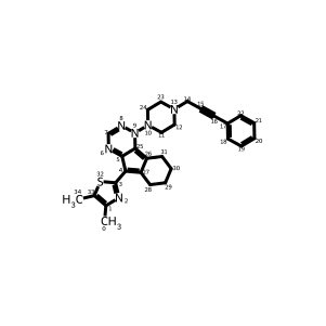 Cc1nc(-c2c3ncnn(N4CCN(CC#Cc5ccccc5)CC4)c-3c3c2CCCC3)sc1C